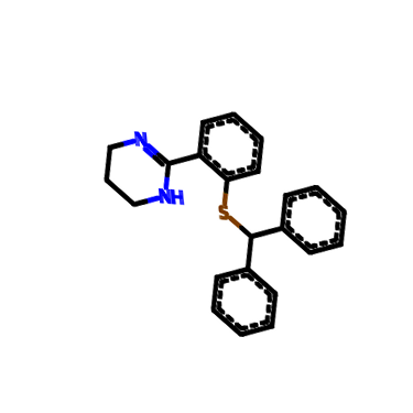 c1ccc(C(Sc2ccccc2C2=NCCCN2)c2ccccc2)cc1